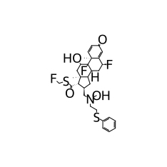 C[C@]12C[C@H](O)[C@@]3(F)[C@@H](C[C@H](F)C4=CC(=O)C=C[C@@]43C)C1C[C@@H](CN(O)CCSc1ccccc1)[C@@H]2C(=O)SCF